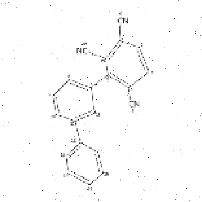 N#Cc1ccc(C#N)c(-c2cccc(-c3ccccc3)c2)c1C#N